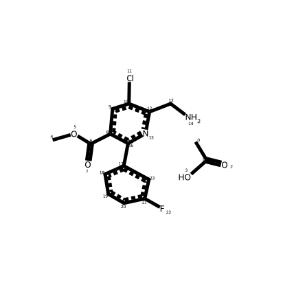 CC(=O)O.COC(=O)c1cc(Cl)c(CN)nc1-c1cccc(F)c1